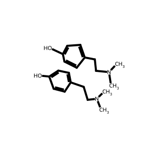 CN(C)CCc1ccc(O)cc1.CN(C)CCc1ccc(O)cc1